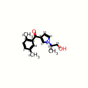 Cc1ccc(C)c(C(=O)c2ccn([C@@H](C)CO)c2)c1